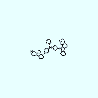 c1ccc(N(c2ccc(-c3cccc4c3oc3cnccc34)cc2)c2ccc(-n3c4ccccc4c4ccc5ccccc5c43)cc2)cc1